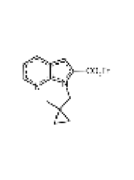 CCOC(=O)c1cc2cccnc2n1CC1(C)CC1